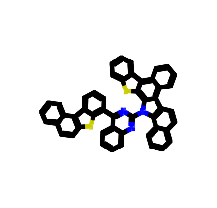 c1ccc2c(c1)ccc1sc3c(-c4nc(-n5c6c7ccccc7ccc6c6c7ccccc7c7c8ccccc8sc7c65)nc5ccccc45)cccc3c12